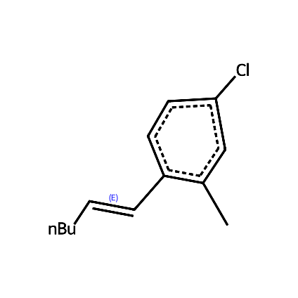 CCCC/C=C/c1ccc(Cl)cc1C